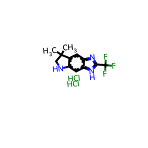 CC1(C)CNc2cc3[nH]c(C(F)(F)F)nc3cc21.Cl.Cl